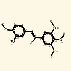 COc1ccc(/C=C(\F)c2cc(OC)c(OC)c(OC)c2)cc1O